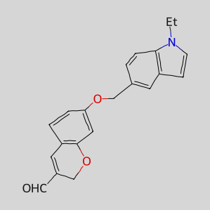 CCn1ccc2cc(COc3ccc4c(c3)OCC(C=O)=C4)ccc21